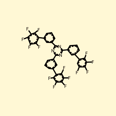 Fc1cc(-c2cccc(-c3nc(-c4cccc(-c5c(F)c(F)c(F)c(F)c5F)c4)nc(-c4cccc(-c5c(F)c(F)c(F)c(F)c5F)c4)n3)c2)c(F)c(F)c1F